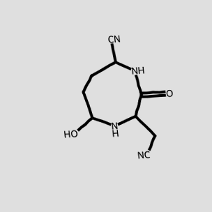 N#CCC1NC(O)CCC(C#N)NC1=O